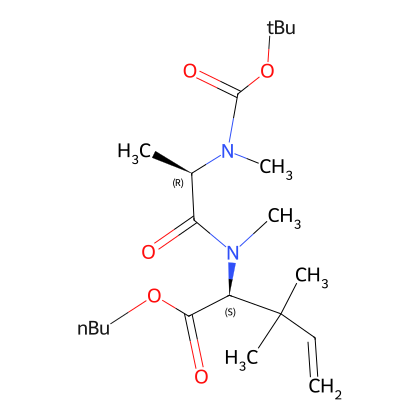 C=CC(C)(C)[C@@H](C(=O)OCCCC)N(C)C(=O)[C@@H](C)N(C)C(=O)OC(C)(C)C